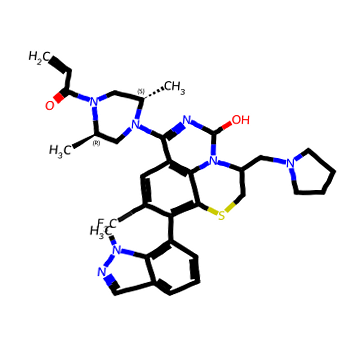 C=CC(=O)N1C[C@H](C)N(C2=NC(O)N3c4c2cc(C(F)(F)F)c(-c2cccc5cnn(C)c25)c4SCC3CN2CCCC2)C[C@H]1C